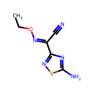 CCON=C(C#N)c1nsc(N)n1